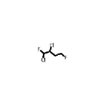 FCCC(Cl)C(F)Cl